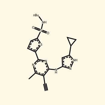 C#Cc1c(C)nc(-c2ccc(S(=O)(=O)NCCCC)s2)nc1Nc1cc(C2CC2)[nH]n1